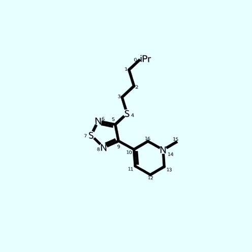 CC(C)CCCSc1nsnc1C1=CCCN(C)C1